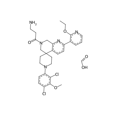 CCOc1ncccc1-c1ccc2c(n1)CN(C(=O)CCN)CC21CCN(c2ccc(Cl)c(OC)c2Cl)CC1.O=CO